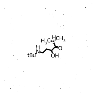 C[SH](C)C(=O)C(O)CCNC(C)(C)C